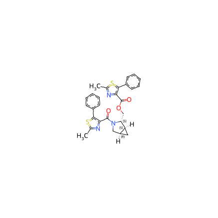 Cc1nc(C(=O)OC[C@@H]2[C@H]3C[C@H]3CN2C(=O)c2nc(C)sc2-c2ccccc2)c(-c2ccccc2)s1